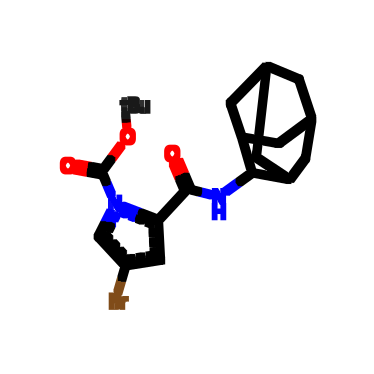 CC(C)(C)OC(=O)n1cc(Br)cc1C(=O)NC1C2CC3CC(C2)CC1C3